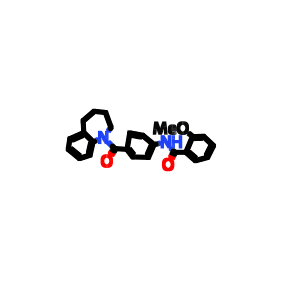 COc1ccccc1C(=O)Nc1ccc(C(=O)N2CCCCc3ccccc32)cc1